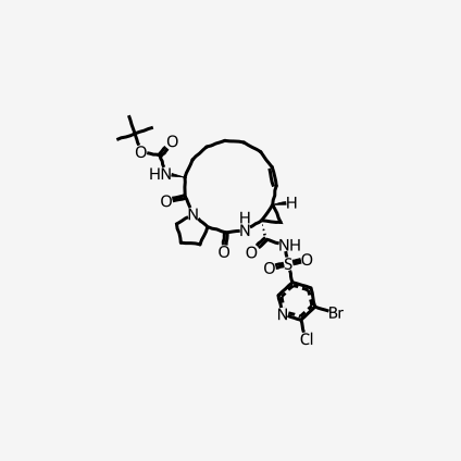 CC(C)(C)OC(=O)N[C@H]1CCCCC/C=C\[C@@H]2C[C@@]2(C(=O)NS(=O)(=O)c2cnc(Cl)c(Br)c2)NC(=O)C2CCCN2C1=O